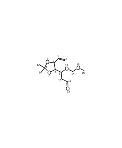 C=CC1OC(C)(C)OC1C(CC=O)OCOC